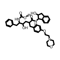 CC(C)OC(=O)NC(Cc1ccccc1)C(O)CC(Cc1ccc(OCCN2CCOCC2)cc1)C(=O)NC1c2ccccc2CC1O